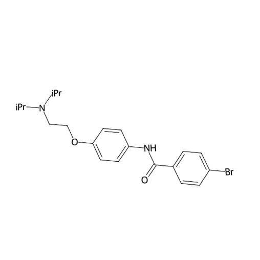 CC(C)N(CCOc1ccc(NC(=O)c2ccc(Br)cc2)cc1)C(C)C